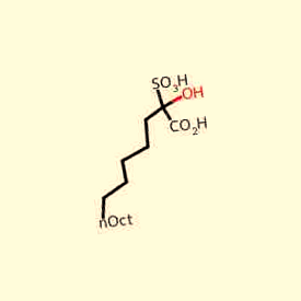 CCCCCCCCCCCCCC(O)(C(=O)O)S(=O)(=O)O